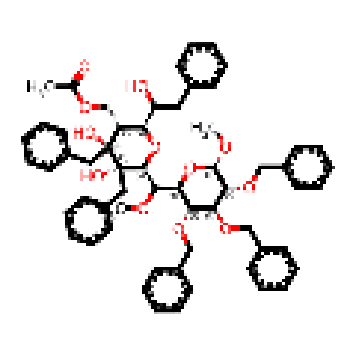 COC([C@H]1O[C@H](OC)[C@H](OCc2ccccc2)[C@@H](OCc2ccccc2)[C@@H]1OCc1ccccc1)[C@@H]1O[C@H](C(O)Cc2ccccc2)[C@@H](COC(C)=O)[C@@](O)(Cc2ccccc2)[C@]1(O)Cc1ccccc1